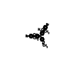 CCOc1ccc(N(c2ccc(C(C)(C)c3ccc(Br)cc3)cc2)c2ccc(C(C)(C)c3ccc(Br)cc3)cc2)cc1